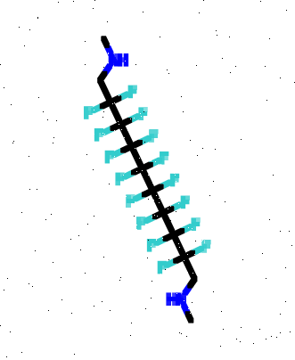 CNCC(F)(F)C(F)(F)C(F)(F)C(F)(F)C(F)(F)C(F)(F)C(F)(F)C(F)(F)CNC